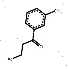 CC(=O)CCC(=O)c1cccc(C)c1